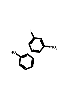 O=[N+]([O-])c1cccc(I)c1.Oc1ccccc1